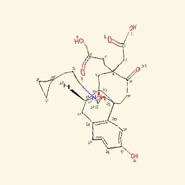 O=C(O)CC1(CC(=O)O)C[C@@]2(O)[C@H]3Cc4ccc(O)cc4C2(CCN3CC2CC2)CC1=O